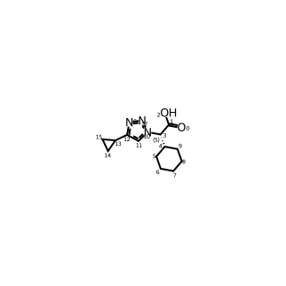 O=C(O)[C@H](C1CCCCC1)n1cc(C2CC2)nn1